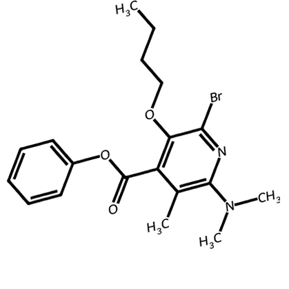 CCCCOc1c(Br)nc(N(C)C)c(C)c1C(=O)Oc1ccccc1